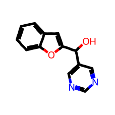 OC(c1cncnc1)c1cc2ccccc2o1